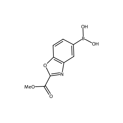 COC(=O)c1nc2cc(B(O)O)ccc2o1